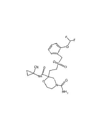 N#CC1(NC(=O)C2(CCS(=O)(=O)Cc3ccccc3OC(F)F)CN(C(N)=O)CCO2)CC1